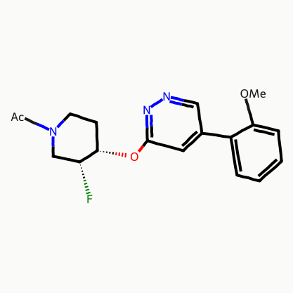 COc1ccccc1-c1cnnc(O[C@H]2CCN(C(C)=O)C[C@H]2F)c1